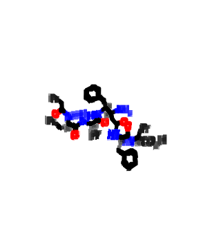 CC(C)CC(=O)N[C@@H](CC(C)C)C(=O)N[C@H](C(=O)N[C@@H](Cc1ccccc1)[C@@H](N)CC(=O)N[C@@H](Cc1ccccc1)C(=O)N[C@H](C(=O)O)C(C)C)C(C)C